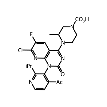 CC(=O)c1ccnc(C(C)C)c1-n1c(=O)nc(N2CCN(C(=O)O)CC2C)c2cc(F)c(Cl)nc21